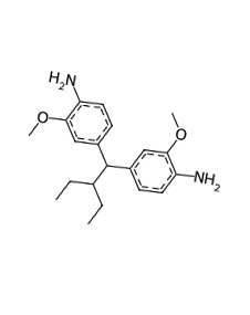 CCC(CC)C(c1ccc(N)c(OC)c1)c1ccc(N)c(OC)c1